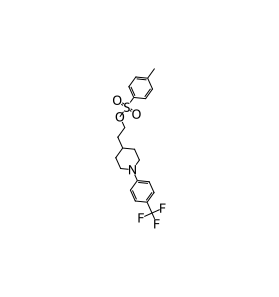 Cc1ccc(S(=O)(=O)OCCC2CCN(c3ccc(C(F)(F)F)cc3)CC2)cc1